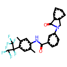 Cc1cc(C(F)(C(F)(F)F)C(F)(F)F)c(C)cc1NC(=O)c1cccc(N2Cc3ccccc3C2=O)c1